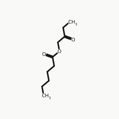 CCCCCC(=O)OCC(=O)CC